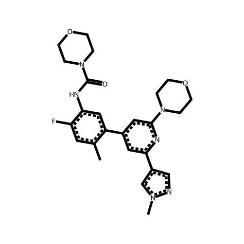 Cc1cc(F)c(NC(=O)N2CCOCC2)cc1-c1cc(-c2cnn(C)c2)nc(N2CCOCC2)c1